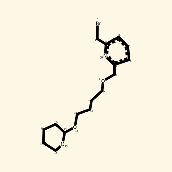 BrCc1cccc(COCCCCOC2CCCCO2)n1